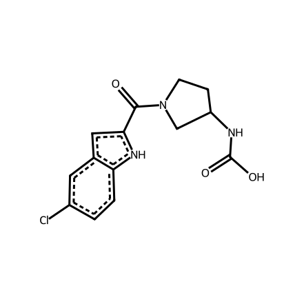 O=C(O)NC1CCN(C(=O)c2cc3cc(Cl)ccc3[nH]2)C1